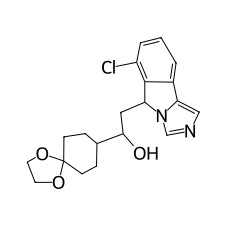 OC(CC1c2c(Cl)cccc2-c2cncn21)C1CCC2(CC1)OCCO2